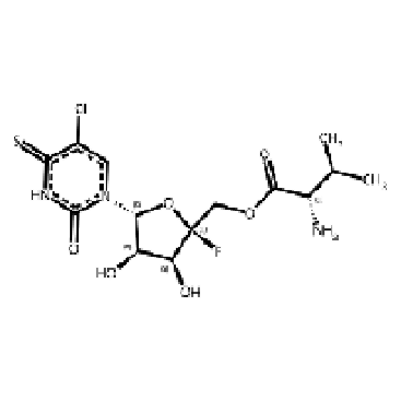 CC(C)[C@H](N)C(=O)OC[C@@]1(F)O[C@@H](n2cc(Cl)c(=S)[nH]c2=O)[C@H](O)[C@@H]1O